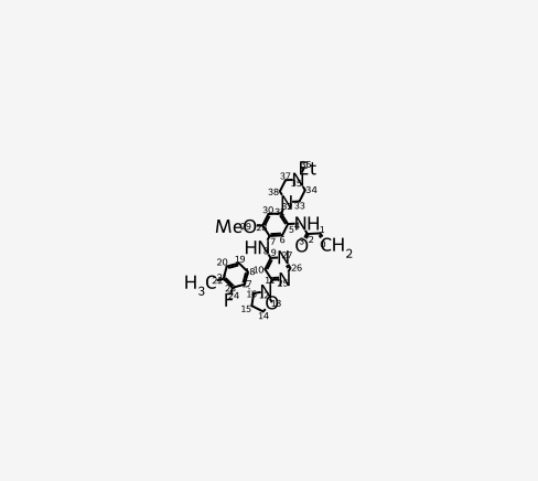 C=CC(=O)Nc1cc(Nc2cc(N3OCC[C@@H]3c3cccc(C)c3F)ncn2)c(OC)cc1N1CCN(CC)CC1